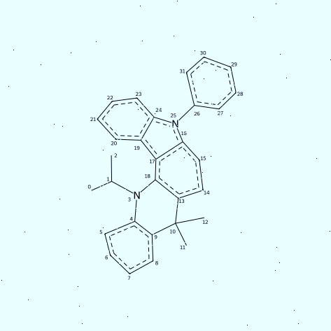 CC(C)N1c2ccccc2C(C)(C)c2ccc3c(c21)c1ccccc1n3-c1ccccc1